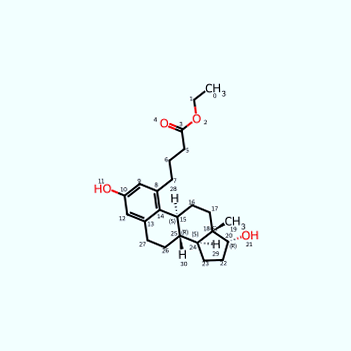 CCOC(=O)CCCc1cc(O)cc2c1[C@H]1CC[C@]3(C)[C@H](O)CC[C@H]3[C@@H]1CC2